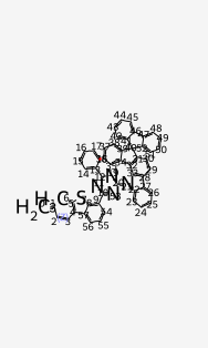 C=C/C=C\c1c(C)sc2c(-c3nc(-c4ccccc4)nc(-n4c5ccccc5c5ccc6c(c54)-c4ccccc4C64c5ccccc5-c5ccccc54)n3)cccc12